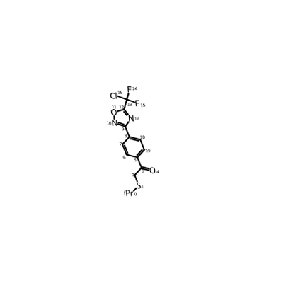 CC(C)SCC(=O)c1ccc(-c2noc(C(F)(F)Cl)n2)cc1